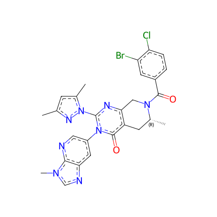 Cc1cc(C)n(-c2nc3c(c(=O)n2-c2cnc4c(c2)ncn4C)C[C@@H](C)N(C(=O)c2ccc(Cl)c(Br)c2)C3)n1